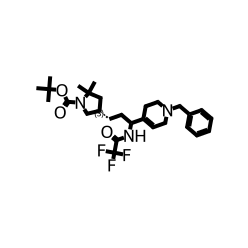 CC(C)(C)OC(=O)N1C[C@@H](CCC(NC(=O)C(F)(F)F)C2=CCN(Cc3ccccc3)CC2)CC1(C)C